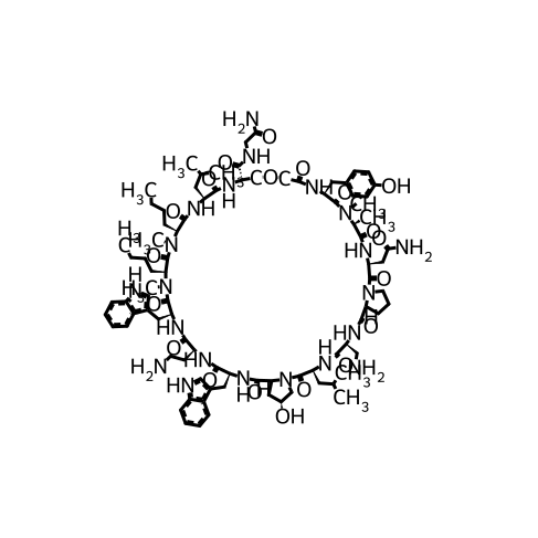 CCCC[C@H]1C(=O)N(C)[C@@H](CCCC)C(=O)N[C@@H](CC(C)C)C(=O)N[C@H](C(=O)NCC(N)=O)COCC(=O)N[C@@H](Cc2ccc(O)cc2)C(=O)N(C)[C@@H](C)C(=O)N[C@@H](CC(N)=O)C(=O)N2CCC[C@H]2C(=O)N[C@@H](CN)C(=O)N[C@@H](CC(C)C)C(=O)N2C[C@H](O)C[C@H]2C(=O)N[C@@H](Cc2c[nH]c3ccccc23)C(=O)N[C@@H](CCN)C(=O)N[C@@H](Cc2c[nH]c3ccccc23)C(=O)N1C